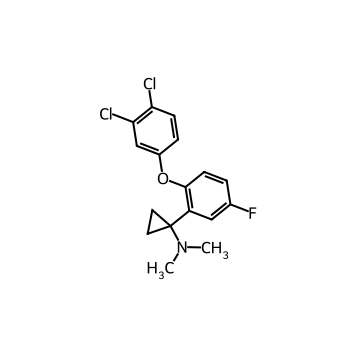 CN(C)C1(c2cc(F)ccc2Oc2ccc(Cl)c(Cl)c2)CC1